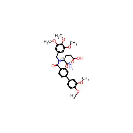 COc1ccc(-c2ccc(C(=O)N(Cc3cc(OC)c(OC)c(OC)c3)[C@@H](CCC(=O)O)C(N)=O)cc2)cc1OC